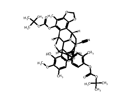 COc1c(C)cc2c(c1O)[C@@H]1C3[C@@H]4SC[C@]5(NCCc6cc(OC(=O)OC(C)(C)C)c(C)cc65)C(=O)OC[C@@H](c5c6c(c(C)c(OC(=O)OC(C)(C)C)c54)OCO6)N3[C@@H](C#N)[C@@H](C2)N1C